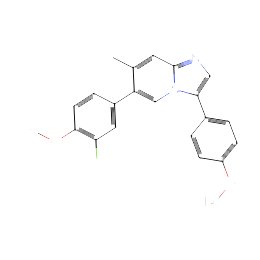 Cc1cc2ncc(-c3ccc(OC(C)(C)C)cc3)n2cc1-c1ccc(OC(C)C)c(F)c1